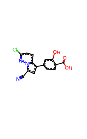 N#Cc1cc(-c2ccc(C(=O)O)c(O)c2)c2ccc(Cl)nn12